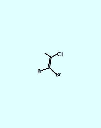 CC(Cl)=C(Br)Br